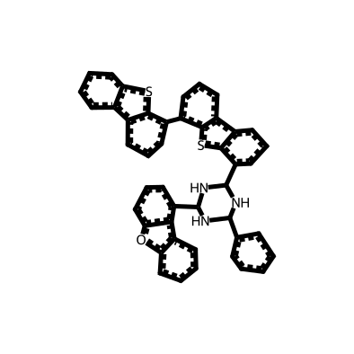 c1ccc(C2NC(c3cccc4c3sc3c(-c5cccc6c5sc5ccccc56)cccc34)NC(c3cccc4oc5ccccc5c34)N2)cc1